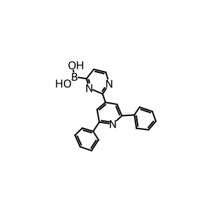 OB(O)c1ccnc(-c2cc(-c3ccccc3)nc(-c3ccccc3)c2)n1